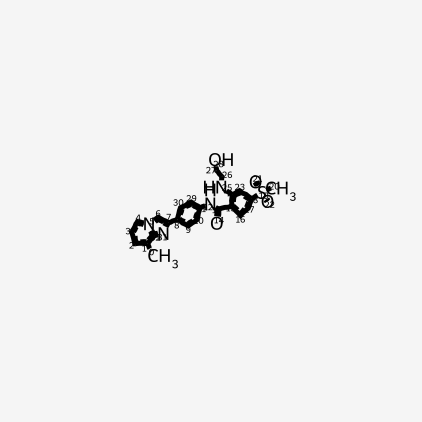 Cc1cccn2cc(-c3ccc(NC(=O)c4ccc(S(C)(=O)=O)cc4NCCO)cc3)nc12